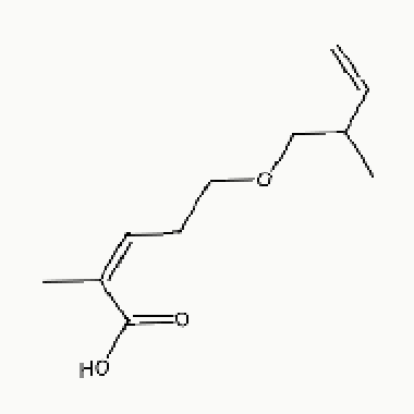 C=CC(C)COCCC=C(C)C(=O)O